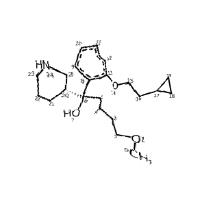 COCCCCC(O)(c1ccccc1OCCC1CC1)[C@@H]1CCCNC1